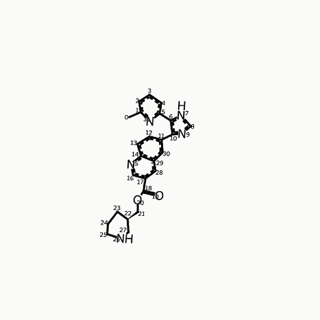 Cc1cccc(-c2[nH]cnc2-c2ccc3ncc(C(=O)OC[C@@H]4CCCNC4)cc3c2)n1